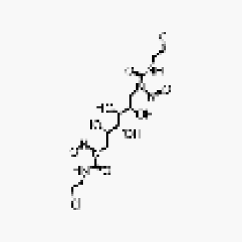 O=NN(C[C@@H](O)[C@H](O)[C@H](O)[C@@H](O)CN(N=O)C(=O)NCCCl)C(=O)NCCCl